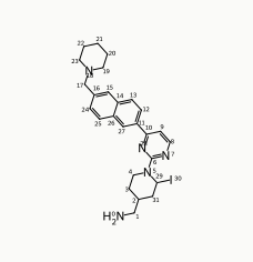 NCC1CCN(c2nccc(-c3ccc4cc(CN5CCCCC5)ccc4c3)n2)C(I)C1